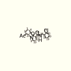 CC(=O)c1cccc(Oc2ncccc2C(=O)NCc2ccccc2Cl)c1